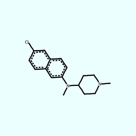 CN1CCC(N(C)c2ccc3cc(Cl)ccc3c2)CC1